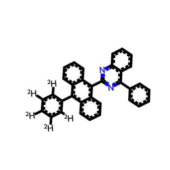 [2H]c1c([2H])c([2H])c(-c2c3ccccc3c(-c3nc(-c4ccccc4)c4ccccc4n3)c3ccccc23)c([2H])c1[2H]